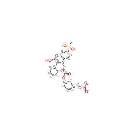 CS(=O)(=O)c1ccc(C(COC(=O)Oc2cccc(CO[N+](=O)[O-])c2)=C(C(=O)O)c2ccccc2)cc1